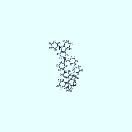 c1ccc(-c2cccc(N(c3cccc(-c4ccc5c(c4)-c4ccccc4C54c5ccccc5Oc5ccccc54)c3)c3ccc4c(c3)c3ccccc3n4-c3ccccc3)c2)cc1